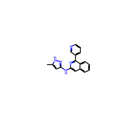 Cc1cc(Nc2cc3ccccc3c(-c3cccnc3)n2)n[nH]1